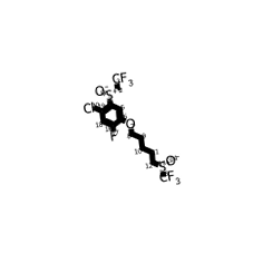 [O-][S+](CC(F)(F)F)c1cc(OCCCCC[S+]([O-])C(F)(F)F)c(F)cc1Cl